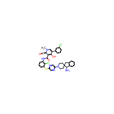 CN1C=C(c2cccc(Cl)c2)C(O)=C(C(=O)Nc2cccc(Sc3cnc(N4CCC5(CC4)Cc4ccccc4[C@H]5N)cn3)c2Cl)C1=C=O